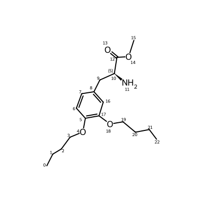 CCCCOc1ccc(C[C@H](N)C(=O)OC)cc1OCCCC